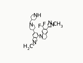 C=CN1Cc2cc(C3CCN(CC4CCNCC4)CC3)cc(N3CCCc4cc(-c5cnn(C)c5)c(C(F)F)cc43)c2C1